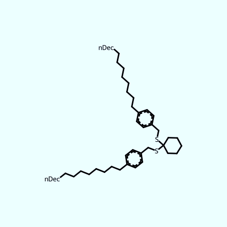 CCCCCCCCCCCCCCCCCCc1ccc(CSC2(SCc3ccc(CCCCCCCCCCCCCCCCCC)cc3)CCCCC2)cc1